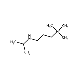 CC(C)NCCC[N+](C)(C)C